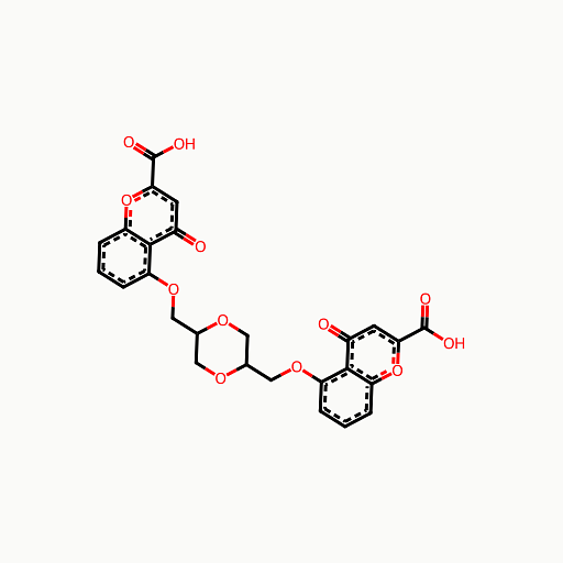 O=C(O)c1cc(=O)c2c(OCC3COC(COc4cccc5oc(C(=O)O)cc(=O)c45)CO3)cccc2o1